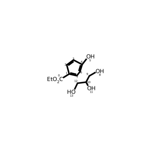 CCOC(=O)c1ccc(O)cc1.OCC(O)CO